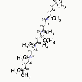 C.C.CC(C)=CCC/C(C)=C/CC/C(C)=C/CC/C=C(\C)CC/C=C(\C)CCC=C(C)C